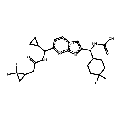 O=C(O)N[C@H](c1cn2ccc(C(NC(=O)CC3CC3(F)F)C3CC3)nc2n1)C1CCC(F)(F)CC1